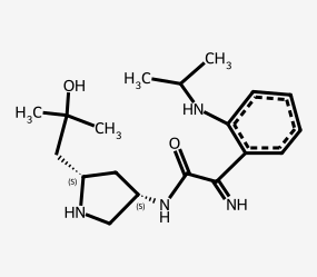 CC(C)Nc1ccccc1C(=N)C(=O)N[C@@H]1CN[C@H](CC(C)(C)O)C1